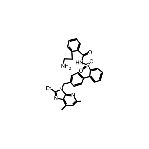 CCc1nc2c(C)cc(C)nc2n1Cc1ccc(-c2ccccc2S(=O)(=O)NC(=O)c2ccccc2CCN)cc1